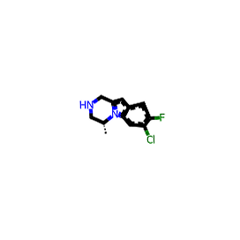 C[C@@H]1CNCc2cc3cc(F)c(Cl)cc3n21